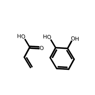 C=CC(=O)O.Oc1ccccc1O